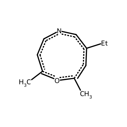 CCc1cnccc(C)oc(C)c1